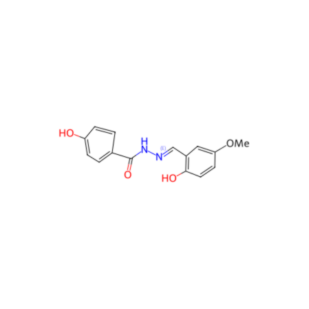 COc1ccc(O)c(/C=N/NC(=O)c2ccc(O)cc2)c1